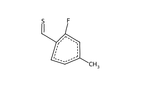 Cc1ccc(C=S)c(F)c1